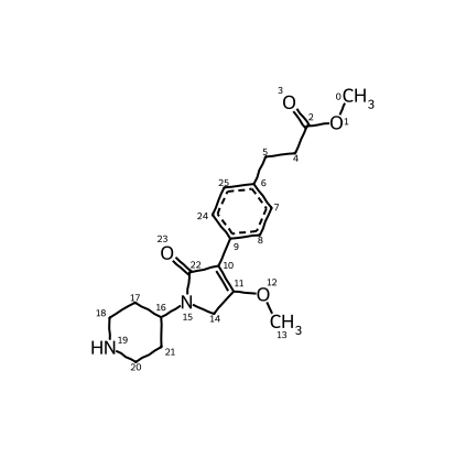 COC(=O)CCc1ccc(C2=C(OC)CN(C3CCNCC3)C2=O)cc1